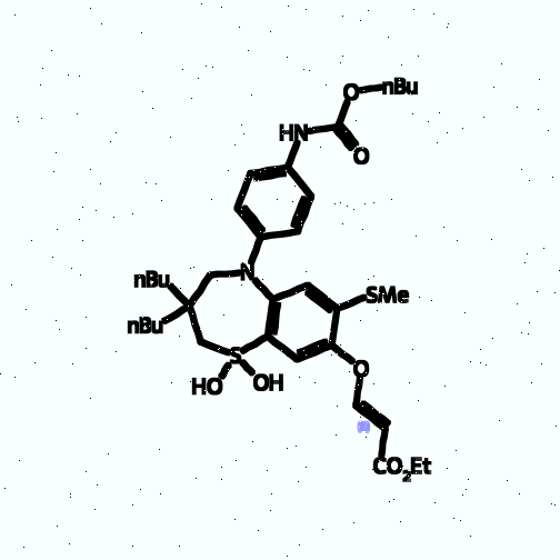 CCCCOC(=O)Nc1ccc(N2CC(CCCC)(CCCC)CS(O)(O)c3cc(O/C=C/C(=O)OCC)c(SC)cc32)cc1